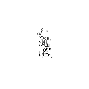 CCCC(=O)c1cc(C)c(Nc2ncccc2-c2cc(NC(=O)OC(C)(C)C)ncn2)cn1